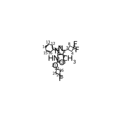 Cc1c(C2CC(F)(F)C2)nn(-c2ccccc2)c1NC(=O)OC1CC(F)C1